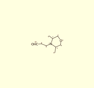 CC1COCC(C)N1CC[C]=O